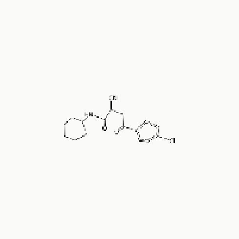 N#CC(CC(=O)c1ccc(Cl)cc1)C(=O)NC1CCCCC1